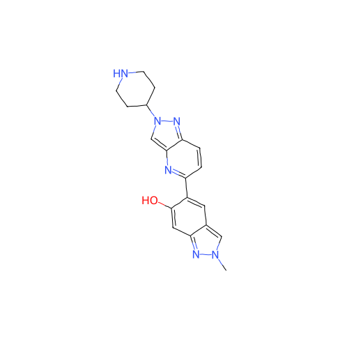 Cn1cc2cc(-c3ccc4nn(C5CCNCC5)cc4n3)c(O)cc2n1